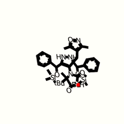 Cc1noc(C)c1CC1(C(O[Si](C)(C)C(C)(C)C)c2ccccc2)NNC(C(O[Si](C)(C)C(C)(C)C)c2ccccc2)=C1N1C(=O)NC(=O)C1(C)C